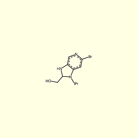 CC(C)N1c2cc(Br)ncc2NC1CO